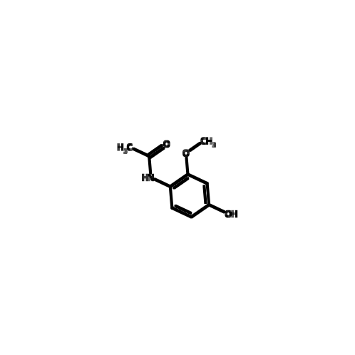 COc1cc(O)ccc1NC(C)=O